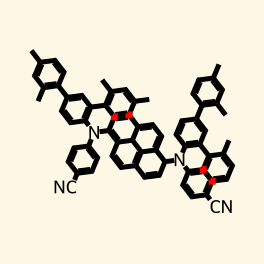 Cc1ccc(-c2ccc(N(C3=C4C=CC5=C6C(=CC=C(C=C3)C46)C(N(c3ccc(C#N)cc3)c3ccc(-c4ccc(C)cc4C)cc3-c3ccccc3C)C=C5)c3ccc(C#N)cc3)c(-c3ccc(C)cc3C)c2)c(C)c1